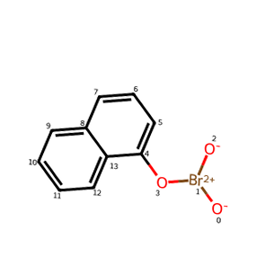 [O-][Br+2]([O-])Oc1cccc2ccccc12